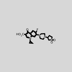 O=C(O)c1cn(C2CC2)c2cc(N3CCN(C4CCS(=O)(=O)C4)CC3)c(F)cc2c1=O